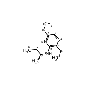 CCc1cnc(CC)c(N[C@@H](C)CC)n1